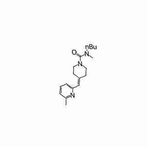 CCCCN(C)C(=O)N1CCC(=Cc2cccc(C)n2)CC1